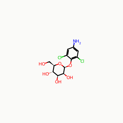 Nc1cc(Cl)c(O[C@@H]2O[C@H](CO)[C@@H](O)[C@H](O)[C@@H]2O)c(Cl)c1